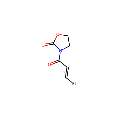 CC/C=C/C(=O)N1CCOC1=O